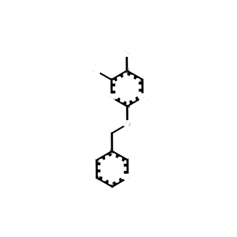 Nc1cnc(NCc2cccnc2)nc1O